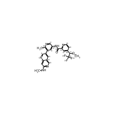 CNc1cc2ncc(-c3cc(NC(=O)c4cc(C(OC)C(F)(F)F)ccn4)cnc3C)cc2cn1